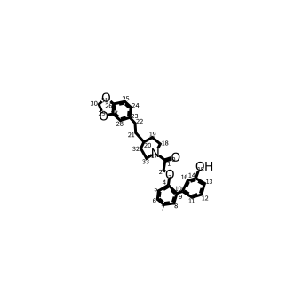 O=C(COc1ccccc1-c1cccc(O)c1)N1CCC(CCc2ccc3c(c2)OCO3)CC1